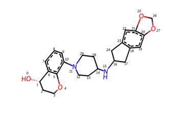 O[C@H]1CCOc2c1cccc2N1CCC(NC2Cc3cc4c(cc3C2)OCO4)CC1